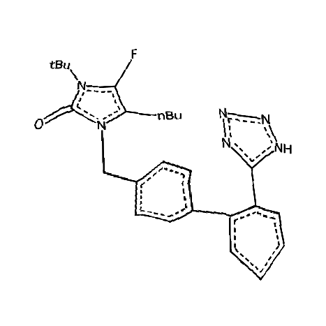 CCCCc1c(F)n(C(C)(C)C)c(=O)n1Cc1ccc(-c2ccccc2-c2nnn[nH]2)cc1